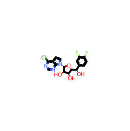 O[C@@H]1[C@H](O)[C@@H]([C@H](O)c2ccc(F)c(F)c2)O[C@H]1n1ccc2c(Cl)ncnc21